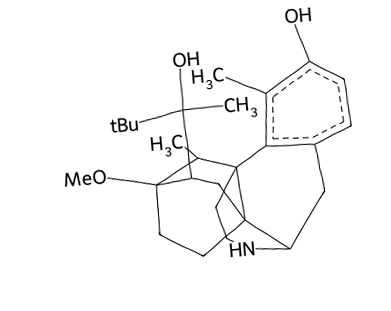 COC12CCC3(CC1C(C)(O)C(C)(C)C)C1Cc4ccc(O)c(C)c4C3(CCN1)C2C